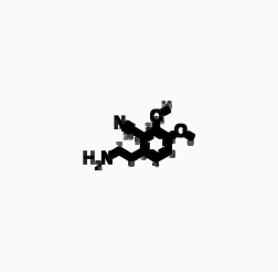 COc1ccc(CCN)c(C#N)c1OC